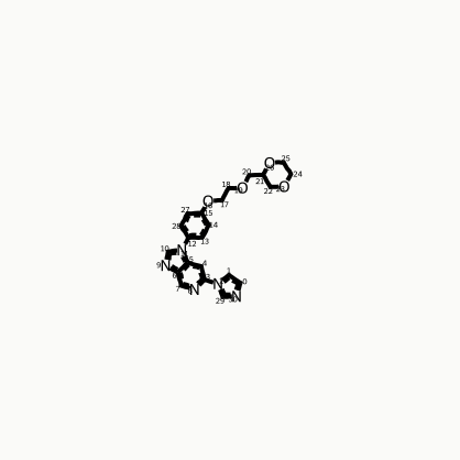 c1cn(-c2cc3c(cn2)ncn3-c2ccc(OCCOCC3COCCO3)cc2)cn1